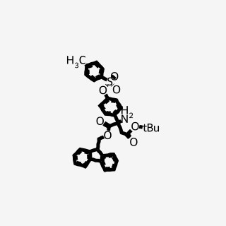 Cc1ccc(S(=O)(=O)Oc2ccc(C(N)(CC(=O)OC(C)(C)C)C(=O)OCC3c4ccccc4-c4ccccc43)cc2)cc1